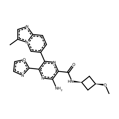 CO[C@H]1C[C@@H](NC(=O)c2nc(-c3ccc4ncc(C)n4c3)c(-c3ncco3)nc2N)C1